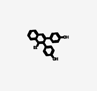 CCc1c(-c2ccc(O)cc2)c(-c2ccc(O)cc2)cc2ccccc12